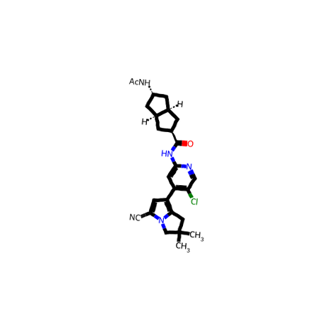 CC(=O)N[C@H]1C[C@@H]2C[C@H](C(=O)Nc3cc(-c4cc(C#N)n5c4CC(C)(C)C5)c(Cl)cn3)C[C@@H]2C1